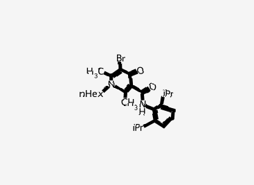 CCCCCCn1c(C)c(Br)c(=O)c(C(=O)Nc2c(C(C)C)cccc2C(C)C)c1C